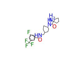 NC1(C(=O)NC2CCC(CNC(=O)c3cc(F)cc(C(F)(F)F)c3)CC2)CCCC1